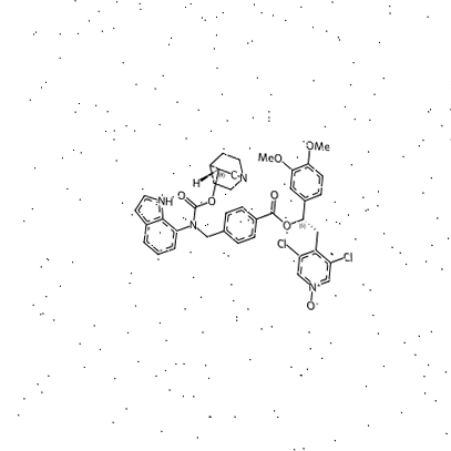 COc1ccc([C@H](Cc2c(Cl)c[n+]([O-])cc2Cl)OC(=O)c2ccc(CN(C(=O)O[C@H]3CN4CCC3CC4)c3cccc4cc[nH]c34)cc2)cc1OC